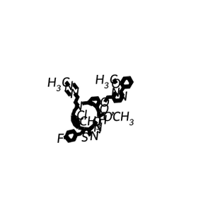 CCOC(=O)[C@H]1Cc2cc(ccc2OCc2ccnc(-c3ccccc3OC)n2)CN(CCN2CCN(C)CC2)Cc2ccc(c(C)c2Cl)-c2c(-c3ccc(F)cc3)sc3ncnc(c23)O1